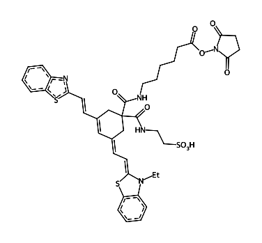 CCN1/C(=C/C=C2C=C(/C=C/c3nc4ccccc4s3)CC(C(=O)NCCCCCC(=O)ON3C(=O)CCC3=O)(C(=O)NCCS(=O)(=O)O)C/2)Sc2ccccc21